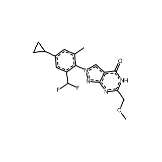 COCc1nc2nn(-c3c(C)cc(C4CC4)cc3C(F)F)cc2c(=O)[nH]1